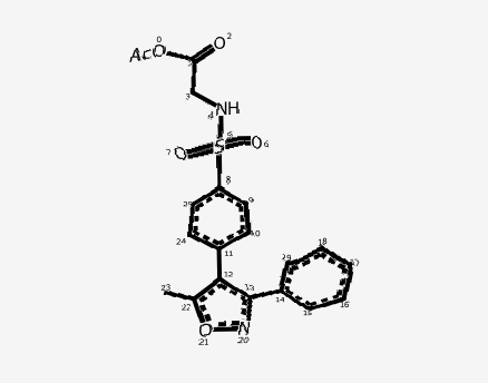 CC(=O)OC(=O)CNS(=O)(=O)c1ccc(-c2c(-c3ccccc3)noc2C)cc1